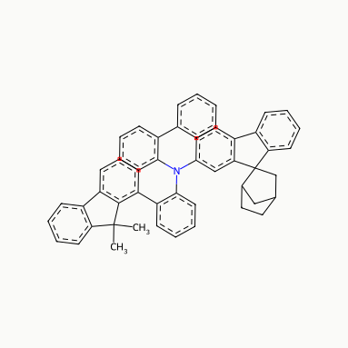 CC1(C)c2ccccc2-c2cccc(-c3ccccc3N(c3ccc4c(c3)C3(CC5CCC3C5)c3ccccc3-4)c3ccccc3-c3ccccc3)c21